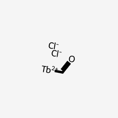 O=[CH][Tb+2].[Cl-].[Cl-]